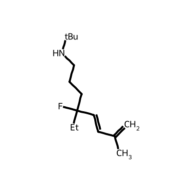 C=C(C)/C=C/C(F)(CC)CCCNC(C)(C)C